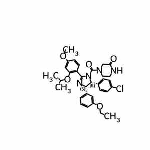 CCOc1cccc([C@@H]2N=C(c3ccc(OC)cc3OC(C)C)N(C(=O)N3CCNC(=O)C3)[C@@H]2c2ccc(Cl)cc2)c1